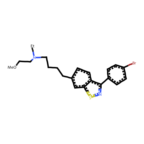 CCN(CCCCc1ccc2c(-c3ccc(Br)cc3)nsc2c1)CCOC